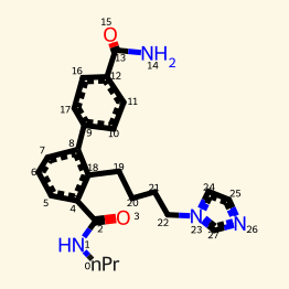 CCCNC(=O)c1cccc(-c2ccc(C(N)=O)cc2)c1CCCCn1ccnc1